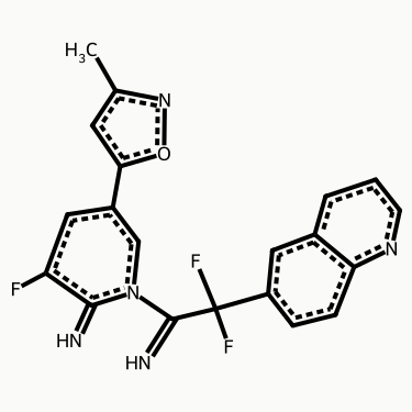 Cc1cc(-c2cc(F)c(=N)n(C(=N)C(F)(F)c3ccc4ncccc4c3)c2)on1